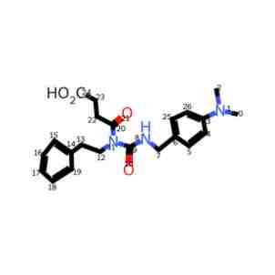 CN(C)c1ccc(CNC(=O)N(CCc2ccccc2)C(=O)CCC(=O)O)cc1